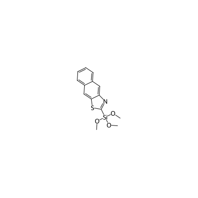 CO[Si](OC)(OC)c1nc2cc3ccccc3cc2s1